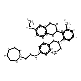 CCN(Cc1ccc(OCCN2CCCCCC2)cc1)c1cccc(C)c1C1CCc2cc(OC)ccc2C1